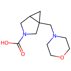 O=C(O)N1CC2CC2(CN2CCOCC2)C1